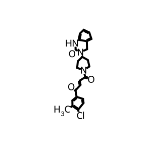 Cc1cc(C(=O)/C=C/C(=O)N2CCC(N3Cc4ccccc4NC3=O)CC2)ccc1Cl